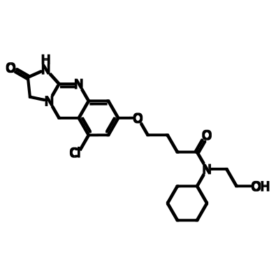 O=C1CN2Cc3c(Cl)cc(OCCCC(=O)N(CCO)C4CCCCC4)cc3N=C2N1